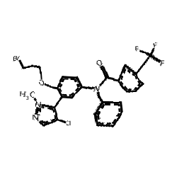 Cn1ncc(Cl)c1-c1cc(N(C(=O)c2cccc(C(F)(F)F)c2)c2ccccc2)ccc1OCCBr